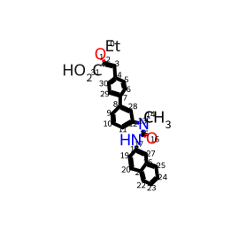 CCO/C(=C/c1ccc(-c2cccc(N(C)C(=O)Nc3ccc4ccccc4c3)c2)cc1)C(=O)O